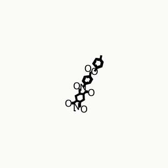 Cc1ccc(OC(=O)c2ccc(N3C(=O)C4CC5C(=O)N(C)C(=O)C5CC4C3=O)cc2)cc1